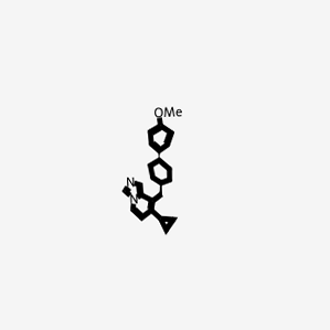 COc1ccc([C@H]2CC[C@H](Cc3c(C4CC4)ccn4cncc34)CC2)cc1